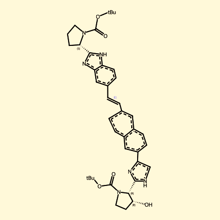 CC(C)(C)OC(=O)N1CC[C@@H](O)[C@H]1c1nc(-c2ccc3cc(/C=C/c4ccc5[nH]c([C@@H]6CCCN6C(=O)OC(C)(C)C)nc5c4)ccc3c2)c[nH]1